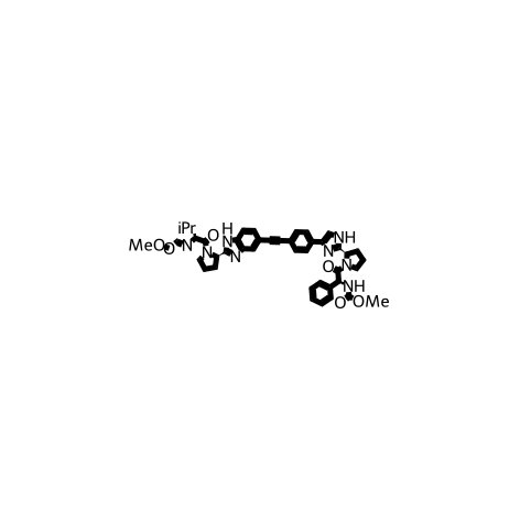 COO/C=N/[C@H](C(=O)N1CCC[C@H]1c1nc2cc(C#Cc3ccc(-c4c[nH]c([C@@H]5CCCN5C(=O)[C@@H](NC(=O)OC)c5ccccc5)n4)cc3)ccc2[nH]1)C(C)C